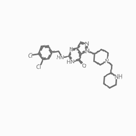 O=c1[nH]c(NCc2ccc(Cl)c(Cl)c2)nc2cnn(C3CCN(CC4CCCCN4)CC3)c12